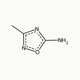 Cc1noc(N)n1